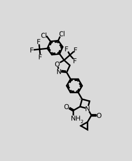 NC(=O)C1[C](c2ccc(C3=NOC(c4cc(Cl)c(Cl)c(C(F)(F)F)c4)(C(F)(F)F)C3)cc2)CN1C(=O)C1CC1